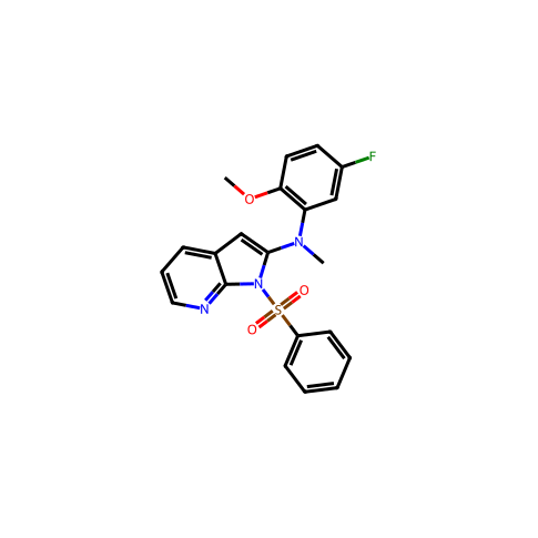 COc1ccc(F)cc1N(C)c1cc2cccnc2n1S(=O)(=O)c1ccccc1